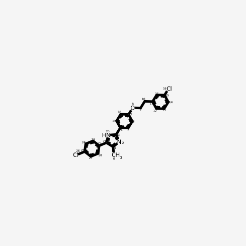 Cc1nc(-c2ccc(OCCc3cccc(Cl)c3)cc2)[nH]c1-c1ccc(Cl)cc1